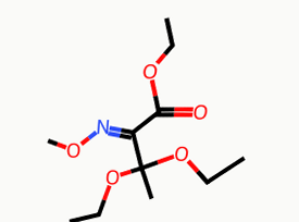 CCOC(=O)C(=NOC)C(C)(OCC)OCC